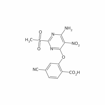 CS(=O)(=O)c1nc(N)c([N+](=O)[O-])c(Oc2cc(C#N)ccc2C(=O)O)n1